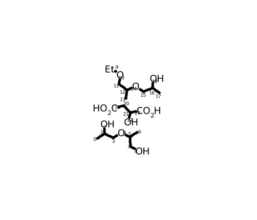 CC(O)COC(C)CO.CCOCC(C)OCC(C)O.O=C(O)CC(O)C(=O)O